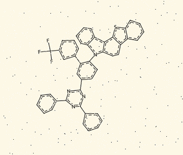 FC(F)(F)c1cccc(-c2cc(-c3nc(-c4ccccc4)nc(-c4ccccc4)n3)ccc2-n2c3ccccc3c3c4sc5ccccc5c4ccc32)c1